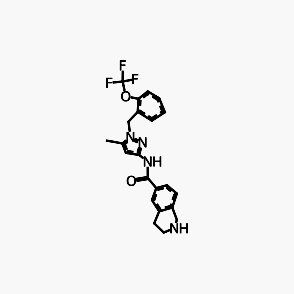 Cc1cc(NC(=O)c2ccc3c(c2)CCNC3)nn1Cc1ccccc1OC(F)(F)F